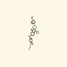 C=C(CCCC)N1CCN(C(=C)c2ccc3c(Cl)c4c(nc3c2)CC(c2ccc(F)cn2)CC4)CC1